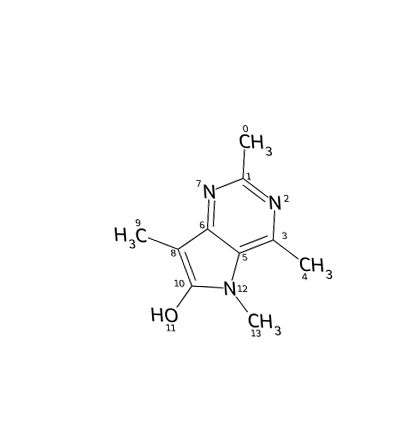 Cc1nc(C)c2c(n1)c(C)c(O)n2C